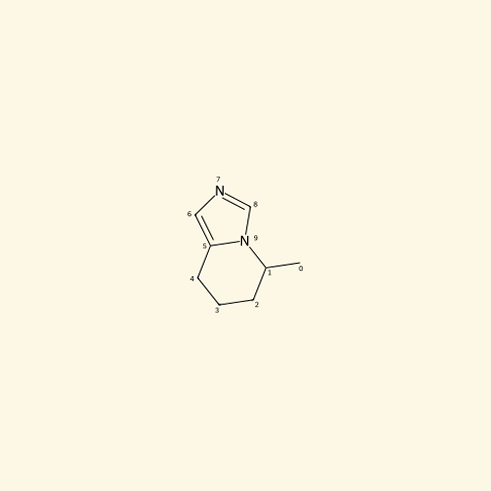 CC1CCCc2cncn21